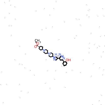 CCOC(=O)[C@H]1CC[C@H](N2CCC(N3CCC(n4cc(-c5cc(-c6ccccc6O)nnc5N)cn4)CC3)CC2)CC1